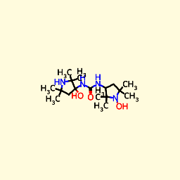 CC1(C)CC(O)(NC(=O)NC2CC(C)(C)N(O)C2(C)C)C(C)(C)N1